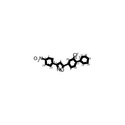 O=[N+]([O-])c1ccc(-c2cc(-c3ccc(-c4ccccc4)c(C(F)(F)F)c3)on2)cc1